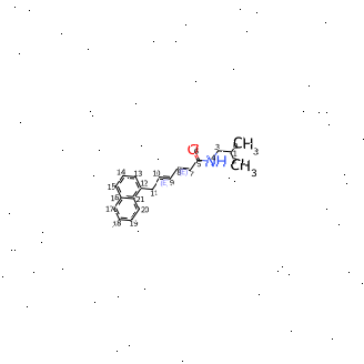 CC(C)CNC(=O)/C=C/C=C/Cc1cccc2ccccc12